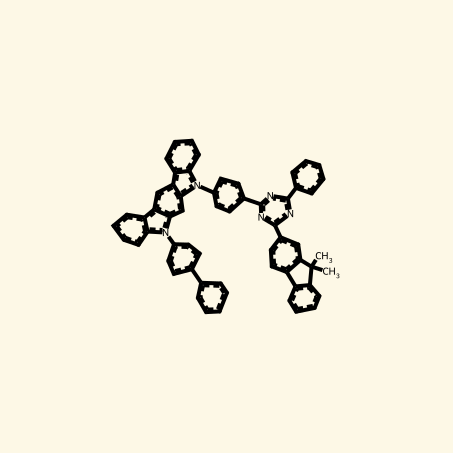 CC1(C)c2ccccc2-c2ccc(-c3nc(-c4ccccc4)nc(-c4ccc(-n5c6ccccc6c6cc7c8ccccc8n(-c8ccc(-c9ccccc9)cc8)c7cc65)cc4)n3)cc21